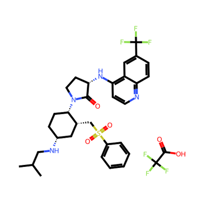 CC(C)CN[C@@H]1CC[C@H](N2CC[C@H](Nc3ccnc4ccc(C(F)(F)F)cc34)C2=O)[C@H](CS(=O)(=O)c2ccccc2)C1.O=C(O)C(F)(F)F